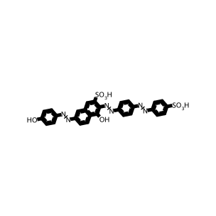 O=S(=O)(O)c1ccc(N=Nc2ccc(N=Nc3c(S(=O)(=O)O)cc4cc(N=Nc5ccc(O)cc5)ccc4c3O)cc2)cc1